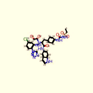 CCS(=O)(=O)NC(=O)Nc1ccc(CC(C(=O)Nc2ccc3[nH]ccc3c2)N(Nc2cc(Cl)ccc2-n2cnnn2)C(=O)C=O)cc1